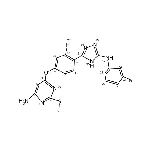 CSc1nc(N)cc(Oc2ccc(-c3nnc(Nc4cccc(C)c4)[nH]3)c(F)c2)n1